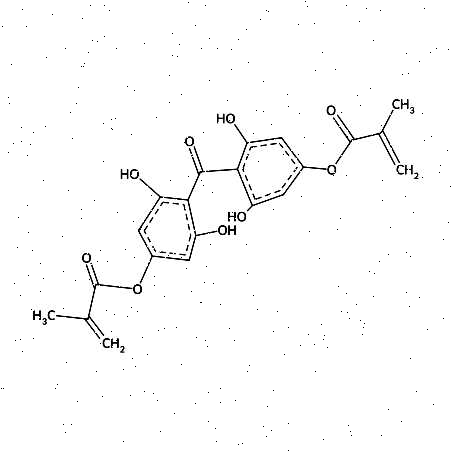 C=C(C)C(=O)Oc1cc(O)c(C(=O)c2c(O)cc(OC(=O)C(=C)C)cc2O)c(O)c1